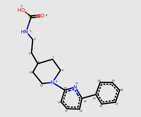 O=C(O)NCCC1CCN(c2cccc(-c3ccccc3)n2)CC1